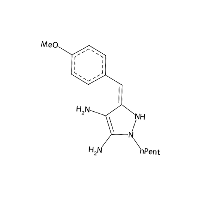 CCCCCN1NC(=Cc2ccc(OC)cc2)C(N)=C1N